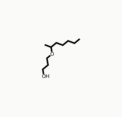 CCCCCC(C)OCCCO